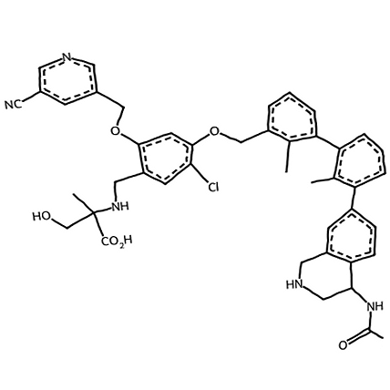 CNC(=O)NC1CNCc2cc(-c3cccc(-c4cccc(COc5cc(OCc6cncc(C#N)c6)c(CNC(C)(CO)C(=O)O)cc5Cl)c4C)c3C)ccc21